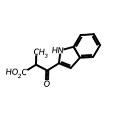 CC(C(=O)O)C(=O)c1cc2ccccc2[nH]1